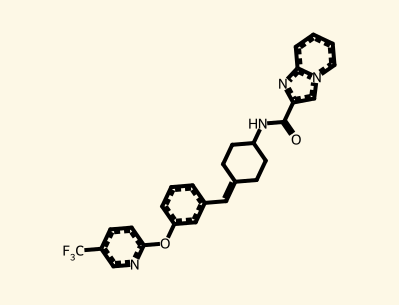 O=C(NC1CCC(=Cc2cccc(Oc3ccc(C(F)(F)F)cn3)c2)CC1)c1cn2ccccc2n1